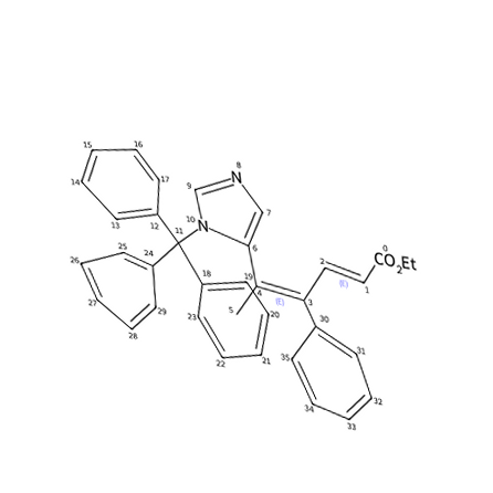 CCOC(=O)/C=C/C(=C(/C)c1cncn1C(c1ccccc1)(c1ccccc1)c1ccccc1)c1ccccc1